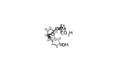 CCC(CN1CCC23C=C[C@H](O)CC2Oc2c(OC)ccc(c23)C1)C(=O)O